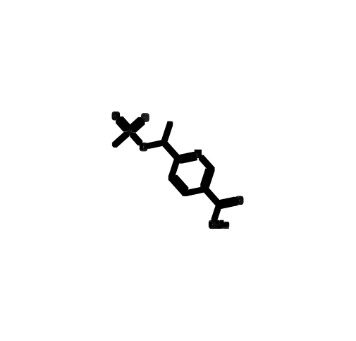 COC(=O)c1ccc(C(C)OS(C)(=O)=O)nc1